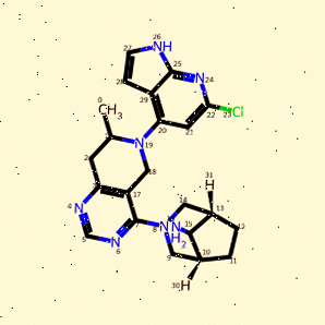 CC1Cc2ncnc(N3C[C@H]4CC[C@@H](C3)C4N)c2CN1c1cc(Cl)nc2[nH]ccc12